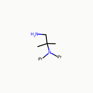 CC(C)N(C(C)C)C(C)(C)CN